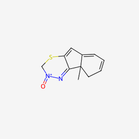 CC12CC=CC=C1C=C1SC[N+](=O)N=C12